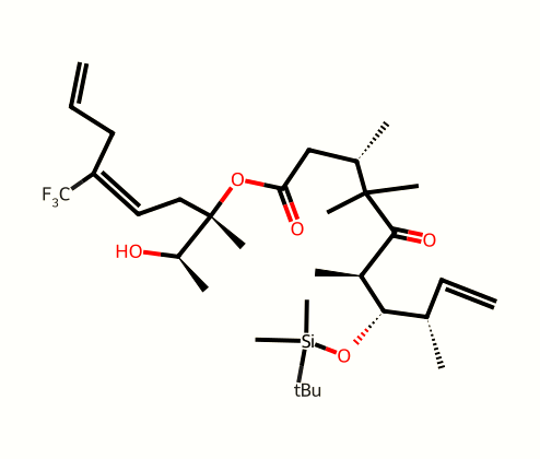 C=CC/C(=C\C[C@](C)(OC(=O)C[C@H](C)C(C)(C)C(=O)[C@H](C)[C@@H](O[Si](C)(C)C(C)(C)C)[C@@H](C)C=C)[C@@H](C)O)C(F)(F)F